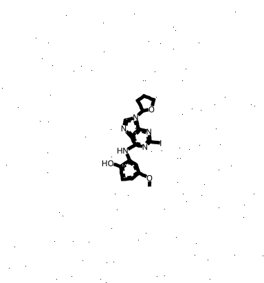 COc1ccc(O)c(Nc2nc(I)nc3c2ncn3C2CCCO2)c1